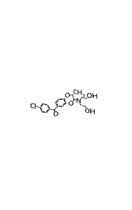 CC(Oc1ccc(C(=O)c2ccc(Cl)cc2)cc1)C(=O)N(CCO)CCO